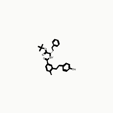 Cc1ccc(C(=O)N[C@@H](CCc2ccccc2)C(=O)OC(C)(C)C)cc1CCc1ccc(O)cc1